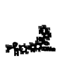 COc1cc2nn(C3CCC(NC(=O)C4CC4)CC3)cc2cc1C(=O)Nc1cnn2cccnc12